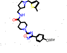 COc1ccc(-c2noc(N3CCC(C(=O)NCC4CCN(Cc5ccc(C)s5)C4)CC3)n2)cc1